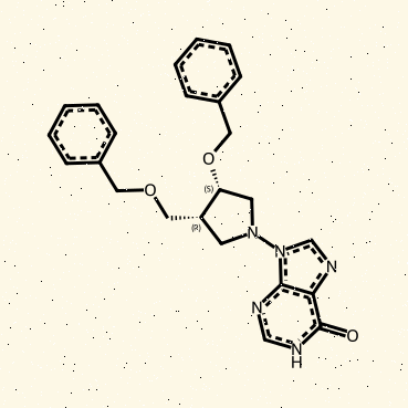 O=c1[nH]cnc2c1ncn2N1C[C@H](COCc2ccccc2)[C@H](OCc2ccccc2)C1